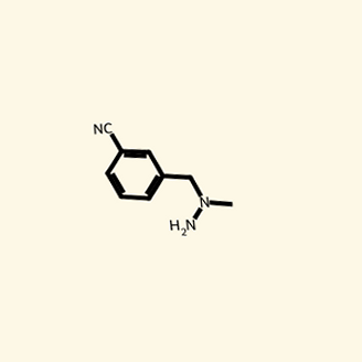 CN(N)Cc1cccc(C#N)c1